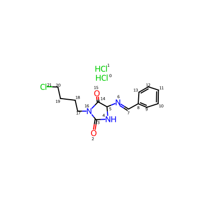 Cl.Cl.O=C1NC(N=Cc2ccccc2)C(=O)N1CCCCCl